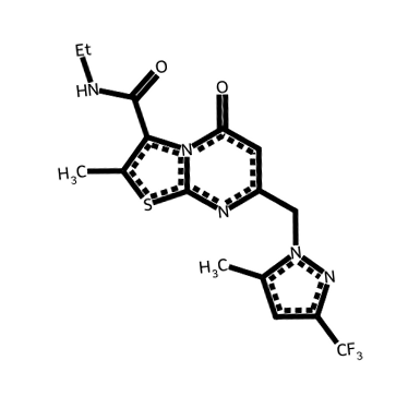 CCNC(=O)c1c(C)sc2nc(Cn3nc(C(F)(F)F)cc3C)cc(=O)n12